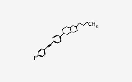 CCCCC1CCC2CC(c3ccc(C#Cc4ccc(F)cc4)cc3)CCC2C1